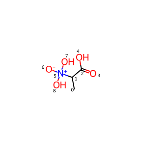 CC(C(=O)O)[N+]([O-])(O)O